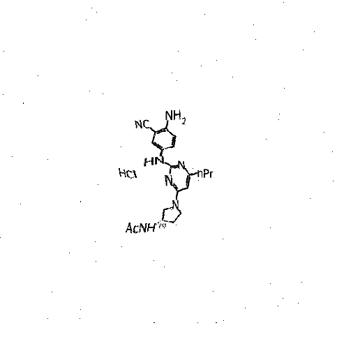 CCCc1cc(N2CC[C@H](NC(C)=O)C2)nc(Nc2ccc(N)c(C#N)c2)n1.Cl